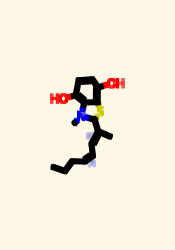 CCC/C=C\C=C(/C)C1Sc2c(O)ccc(O)c2N1C